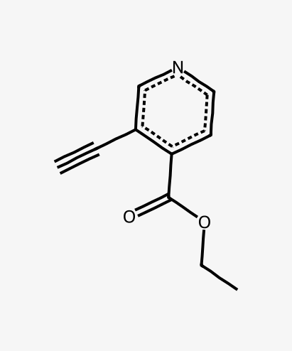 C#Cc1cnccc1C(=O)OCC